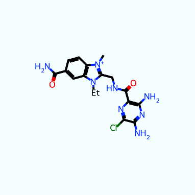 CCn1c(CNC(=O)c2nc(Cl)c(N)nc2N)[n+](C)c2ccc(C(N)=O)cc21